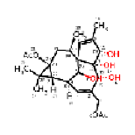 CC(=O)OCC1=C[C@@H]2C(O)[C@]3(C=C(C)[C@H](O)[C@@]3(O)[C@@H]1O)[C@H](C)C[C@]1(OC(C)=O)[C@H]2C1(C)C